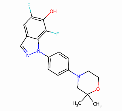 CC1(C)CN(c2ccc(-n3ncc4cc(F)c(O)c(F)c43)cc2)CCO1